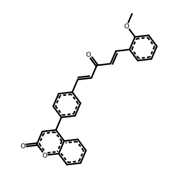 COc1ccccc1C=CC(=O)C=Cc1ccc(-c2cc(=O)oc3ccccc23)cc1